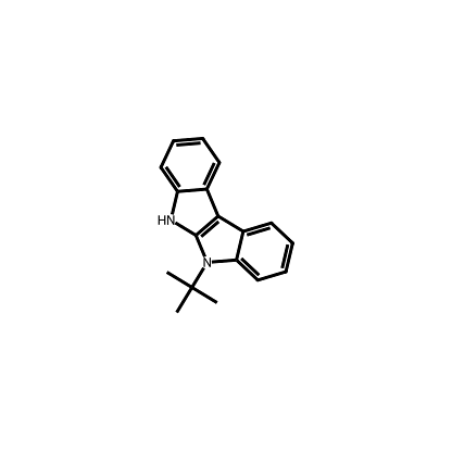 CC(C)(C)n1c2ccccc2c2c3ccccc3[nH]c21